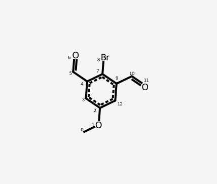 COc1cc(C=O)c(Br)c(C=O)c1